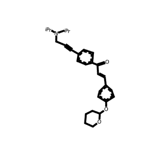 CC(C)N(CC#Cc1ccc(C(=O)/C=C/c2ccc(OC3CCCCO3)cc2)cc1)C(C)C